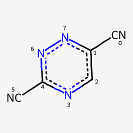 N#Cc1cnc(C#N)nn1